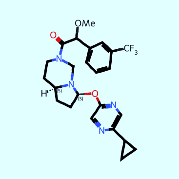 COC(C(=O)N1CC[C@@H]2CC[C@H](Oc3cnc(C4CC4)cn3)N2C1)c1cccc(C(F)(F)F)c1